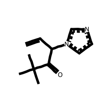 C=CC(C(=O)C(C)(C)C)n1ccnc1